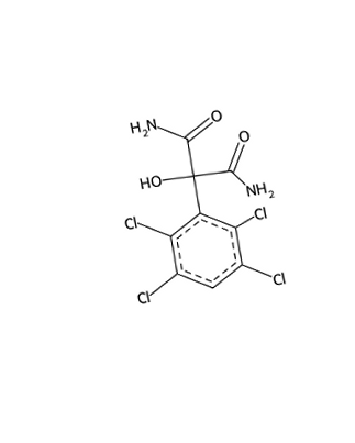 NC(=O)C(O)(C(N)=O)c1c(Cl)c(Cl)cc(Cl)c1Cl